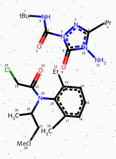 CC(C)c1nn(C(=O)NC(C)(C)C)c(=O)n1N.CCc1cccc(C)c1N(C(=O)CCl)C(C)COC